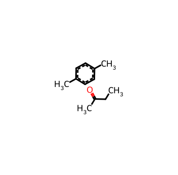 CCC(C)=O.Cc1ccc(C)cc1